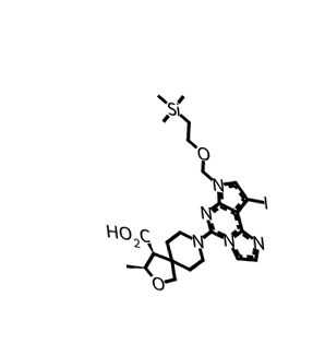 C[C@@H]1OCC2(CCN(c3nc4c(c(I)cn4COCC[Si](C)(C)C)c4nccn34)CC2)[C@@H]1C(=O)O